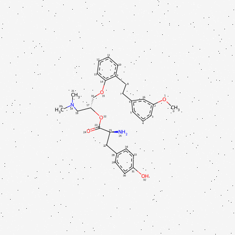 COc1cccc(CCc2ccccc2OC[C@@H](CN(C)C)OC(=O)[C@@H](N)Cc2ccc(O)cc2)c1